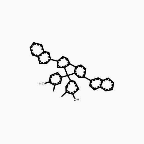 Cc1cc(C2(c3ccc(O)c(C)c3)c3cc(-c4ccc5ccccc5c4)ccc3-c3ccc(-c4ccc5ccccc5c4)cc32)ccc1O